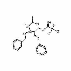 CC1OC(OC(=N)C(Cl)(Cl)Cl)C(OCc2ccccc2)[C@@H](OCc2ccccc2)[C@@H]1C